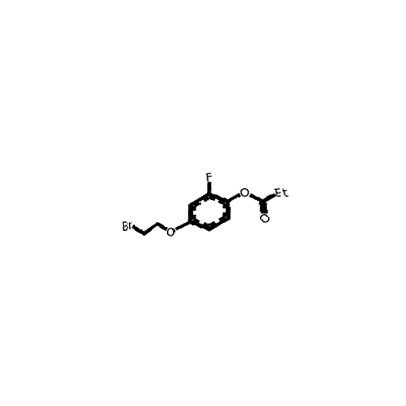 CCC(=O)Oc1ccc(OCCBr)cc1F